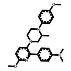 COc1ccc(N2CCN(c3ccc(OC)nc3-c3ccc(N(C)C)cc3)CC2C)cc1